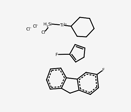 Cl[SiH2][Ti+2][CH]1CCCCC1.FC1=CCC=C1.Fc1ccc2c(c1)-c1ccccc1C2.[Cl-].[Cl-]